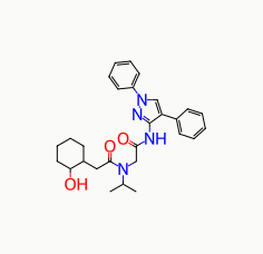 CC(C)N(CC(=O)Nc1nn(-c2ccccc2)cc1-c1ccccc1)C(=O)CC1CCCCC1O